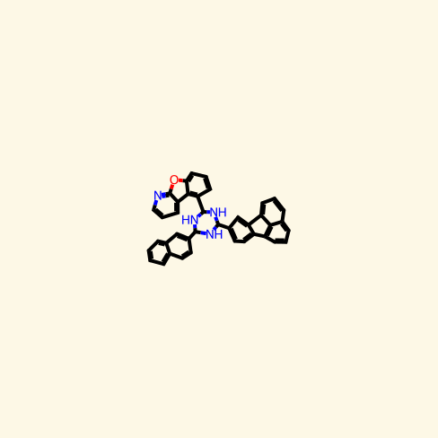 c1ccc2cc(C3NC(c4ccc5c(c4)-c4cccc6cccc-5c46)NC(c4cccc5oc6ncccc6c45)N3)ccc2c1